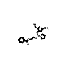 [2H]C[C@H]1O[C@@H](B)CC1OP(OCCSC(=O)c1ccccc1)N1CCCC1